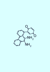 Nc1c(N)c2c(C3=CC(=O)C=CC3=O)cccc2c2ccccc12